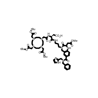 COC(=O)CC1Nc2ccc(C(=O)N(Cc3ccccc3)Cc3ncc[nH]3)cc2CN(CCCNC(=O)[C@H](CC(=O)O)NC(=O)CN2CCN(CC(=O)OC(C)(C)C)CCN(CC(=O)OC(C)(C)C)CCN(CC(=O)OC(C)(C)C)CC2)C1=O